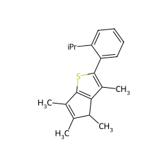 CC1=C(C)C(C)c2c1sc(-c1ccccc1C(C)C)c2C